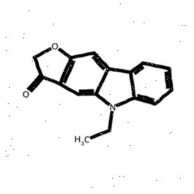 CCn1c2ccccc2c2cc3c(cc21)C(=O)CO3